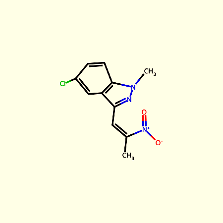 CC(=Cc1nn(C)c2ccc(Cl)cc12)[N+](=O)[O-]